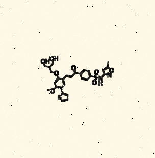 COc1cc(OCC(CO)CO)c(/C=C/C(=O)c2ccc(S(=O)(=O)Nc3cc(C)on3)cc2)cc1-c1cccs1